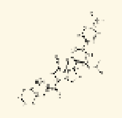 CC(C)C[C@H](NC(=O)c1ccc(N(C)C)cc1)C(=O)N1CCC2[C@H]1C(=O)CN2C(=O)[C@@H](N)CC1CCCCC1